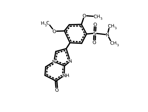 COc1cc(OC)c(S(=O)(=O)N(C)C)cc1-c1cn2ccc(=O)[nH]c2n1